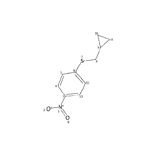 O=[N+]([O-])c1ccc(SCC2CC2)cc1